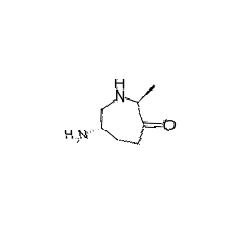 C[C@@H]1NC[C@@H](N)CCC1=O